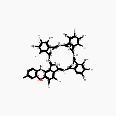 Cc1ccc(Nc2c(F)c(F)c(F)c3c4nc5nc(nc6c7c(F)c(F)c(F)c(F)c7c(nc7nc(nc([nH]4)c23)-c2c(F)c(F)c(F)c(F)c2-7)n6F)-c2c-5cc(F)c(F)c2F)c(C)c1